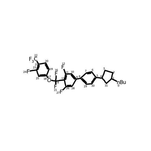 CCCCC1CCC(c2ccc(-c3cc(F)c(C(F)(F)Oc4ccc(C(F)(F)F)c(F)c4)c(F)c3)cc2)C1